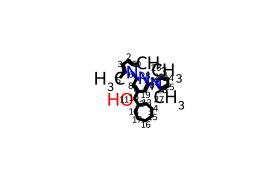 Cc1ccc(C)n1-c1cc(C(O)C2CCCCCC2)cc(-n2c(C)ccc2C)n1